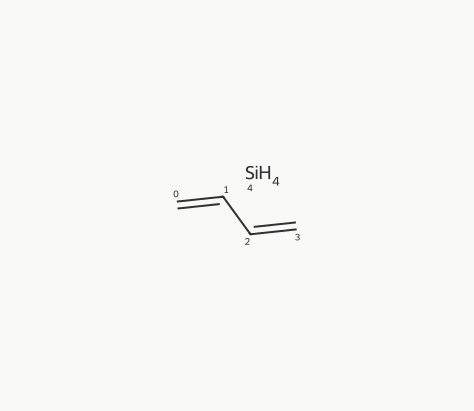 C=CC=C.[SiH4]